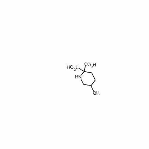 O=C(O)C1(C(=O)O)CCC(O)CN1